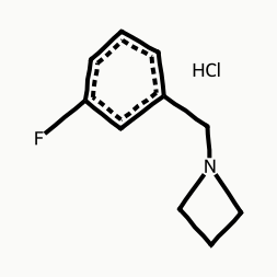 Cl.Fc1cccc(CN2CCC2)c1